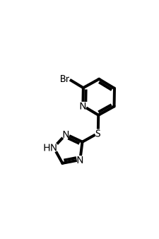 Brc1cccc(Sc2nc[nH]n2)n1